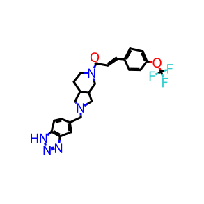 O=C(C=Cc1ccc(OC(F)(F)F)cc1)N1CCC2CN(Cc3ccc4[nH]nnc4c3)CC2C1